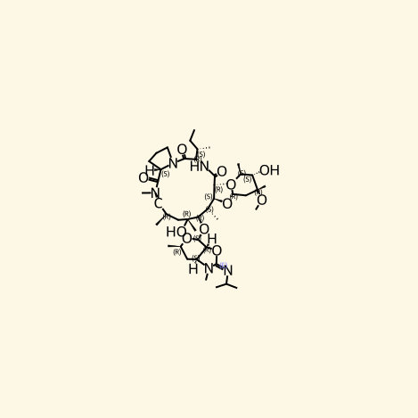 CC[C@H](C)[C@H]1NC(=O)[C@H](C)[C@@H](O[C@H]2C[C@@](C)(OC)[C@@H](O)[C@H](C)O2)[C@H](C)[C@@H](O[C@@H]2O[C@H](C)C[C@H]3[C@H]2O/C(=N/C(C)C)N3C)[C@](C)(O)C[C@@H](C)CN(C)C(=O)[C@@H]2CCCN2C1=O